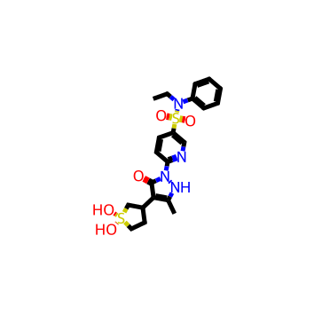 CCN(c1ccccc1)S(=O)(=O)c1ccc(-n2[nH]c(C)c(C3CCS(O)(O)C3)c2=O)nc1